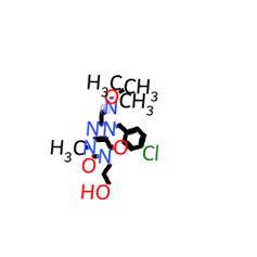 Cn1c(=O)n(CCCO)c(=O)c2c1nc(/C=N/OC(C)(C)C)n2Cc1ccc(Cl)cc1